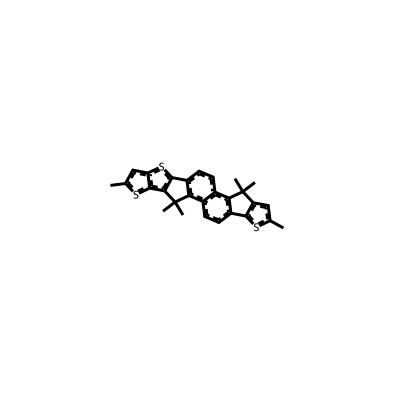 Cc1cc2c(s1)-c1ccc3c4c(ccc3c1C2(C)C)-c1sc2cc(C)sc2c1C4(C)C